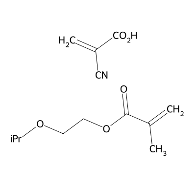 C=C(C#N)C(=O)O.C=C(C)C(=O)OCCOC(C)C